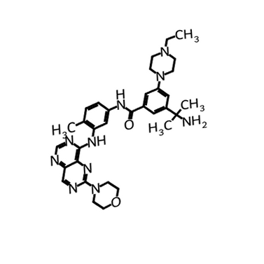 CCN1CCN(c2cc(C(=O)Nc3ccc(C)c(Nc4ncnc5cnc(N6CCOCC6)nc45)c3)cc(C(C)(C)N)c2)CC1